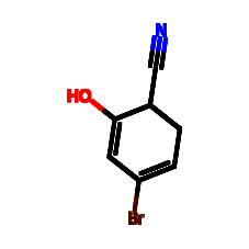 N#CC1CC=C(Br)C=C1O